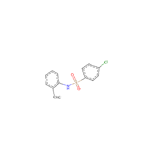 O=[C]c1ccccc1NS(=O)(=O)c1ccc(Cl)cc1